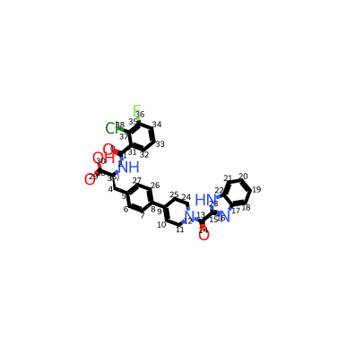 O=C(N[C@@H](Cc1ccc(C2=CCN(C(=O)c3nc4ccccc4[nH]3)CC2)cc1)C(=O)O)c1cccc(F)c1Cl